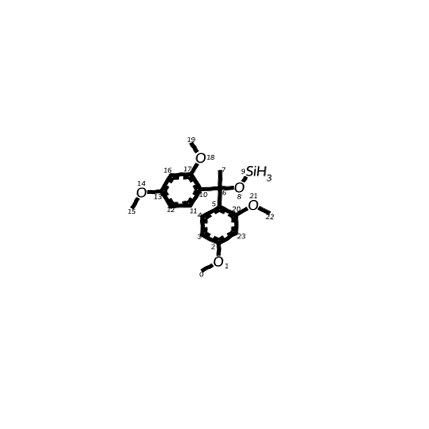 COc1ccc(C(C)(O[SiH3])c2ccc(OC)cc2OC)c(OC)c1